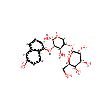 OC[C@H]1O[C@@H](O[C@@H]2CO[C@@H](O)[C@H](Oc3cccc4cc(O)ccc34)[C@H]2O)[C@H](O)[C@@H](O)[C@H]1O